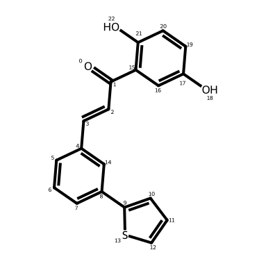 O=C(C=Cc1cccc(-c2cccs2)c1)c1cc(O)ccc1O